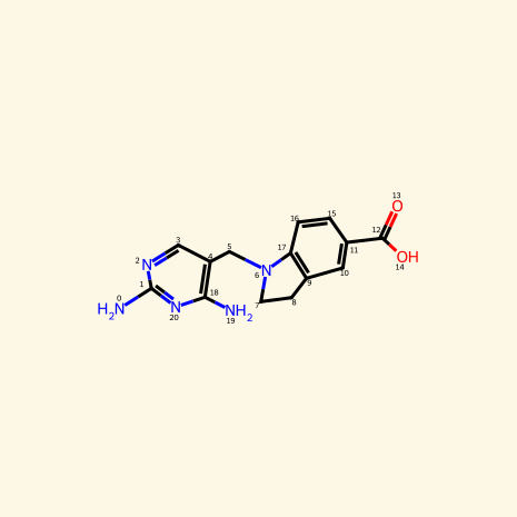 Nc1ncc(CN2CCc3cc(C(=O)O)ccc32)c(N)n1